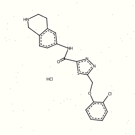 Cl.O=C(Nc1ccc2c(c1)CCNC2)c1nnc(COc2ccccc2Cl)s1